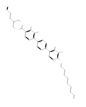 C=CCCC1COC(c2ccc(-c3ccc(-c4ccc(OCCCCCCCCC)c(F)c4F)cc3)c(F)c2F)OC1